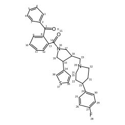 O=C(c1ccccc1)c1ccccc1C(=O)N1CC(CN2CCC(c3ccc(F)cc3)CC2)C(c2ccsc2)C1